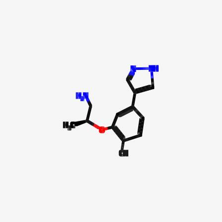 C[C@@H](CN)Oc1cc(-c2cn[nH]c2)ccc1C#N